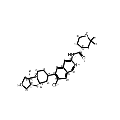 CC1(C)C[C@H](C(=O)Nc2cc3cc(C4CCN([C@]5(C)COC[C@@H]5F)CC4)c(Cl)cc3cn2)CCO1